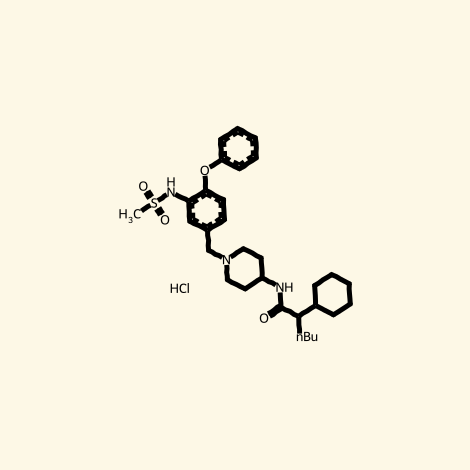 CCCCC(C(=O)NC1CCN(Cc2ccc(Oc3ccccc3)c(NS(C)(=O)=O)c2)CC1)C1CCCCC1.Cl